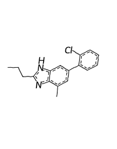 CCCc1nc2c(C)cc(-c3ccccc3Cl)cc2[nH]1